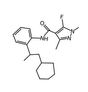 Cc1nn(C)c(F)c1C(=O)Nc1ccccc1C(C)CC1CCCCC1